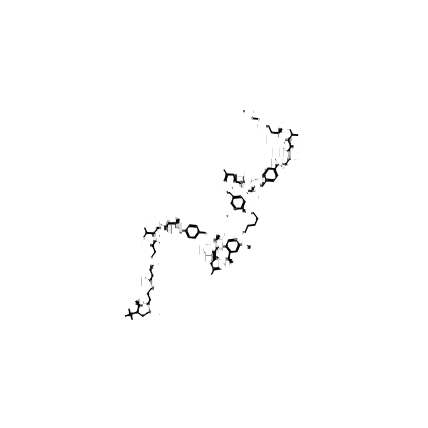 COCCOCCC(=O)N[C@H](C(=O)N[C@@H](C)C(=O)Nc1ccc(COC(=O)N2c3cc(OCCCCCOc4cc5c(cc4OC)C(=O)N4C=C(C)C[C@H]4[C@H](O)N5C(=O)OCc4ccc(NC(=O)[C@H](C)NC(=O)[C@@H](NC(=O)CCOCCNC(=O)CCN5C(=O)CC(C(C)(C)C)C5=O)C(C)C)cc4)c(OC)cc3C(=O)N3C=C(C)C[C@H]3[C@@H]2O)cc1)C(C)C